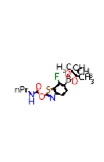 CCCNC(=O)Oc1nc2ccc(B3OC(C)(C)C(C)(C)O3)c(F)c2s1